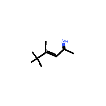 CC(=N)/C=C(\C)C(C)(C)C